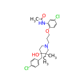 CC(=O)Nc1cc(Cl)ccc1OCCCN1CCC(O)(Cc2ccc(Cl)cc2)C(C)(C)C1